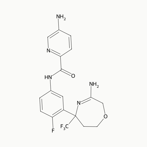 NC1=NC(c2cc(NC(=O)c3ccc(N)cn3)ccc2F)(C(F)(F)F)CCOC1